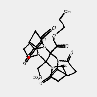 O=C(O)CC(N1C(=O)CCC1=O)(N1C(=O)CCC1=O)C(C(=O)OCCO)(N1C(=O)CCC1=O)N1C(=O)CCC1=O